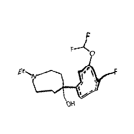 CCN1CCC(O)(c2ccc(F)c(OC(F)F)c2)CC1